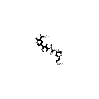 CCCC(=O)c1cc(C(=N/C)/C(C)=C(\C)NC(=O)N[C@H]2CON(CCOC)C2)cnc1C